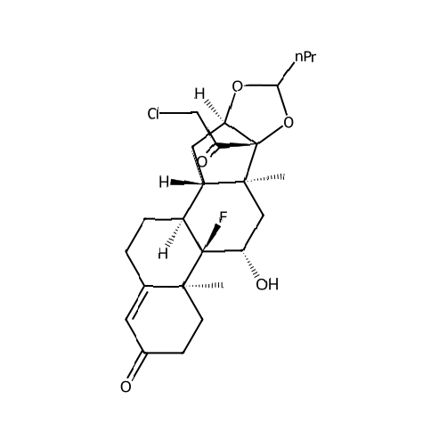 CCCC1O[C@@H]2C[C@H]3[C@@H]4CCC5=CC(=O)CC[C@]5(C)[C@@]4(F)[C@@H](O)C[C@]3(C)[C@@]2(C(=O)CCl)O1